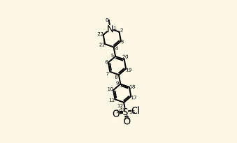 CN1CC=C(c2ccc(-c3ccc(S(=O)(=O)Cl)cc3)cc2)CC1